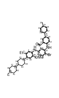 CCc1cc(Nc2ncc(Br)c(Nc3ccc(-c4ccc(C)cn4)cc3P=O)n2)c(OC)cc1N1CCC(N2CCN(C)CC2)CC1